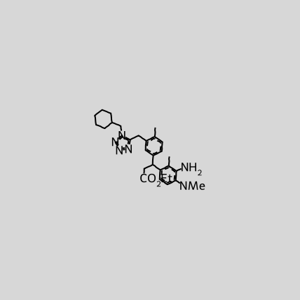 CCOC(=O)CC(c1ccc(C)c(Cc2nnnn2CC2CCCCC2)c1)c1ccc(NC)c(N)c1C